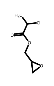 CC(Cl)C(=O)OCC1CO1